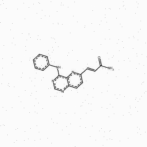 NC(=O)C=Cc1ccc2ncnc(Nc3ccccc3)c2n1